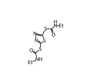 CCNC(=O)Sc1nnc(SC(=O)NCC)s1